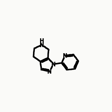 c1ccc(-n2ncc3c2CNCC3)nc1